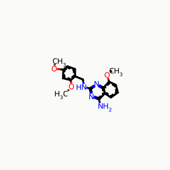 COc1ccc(CNc2nc(N)c3cccc(OC)c3n2)c(OC)c1